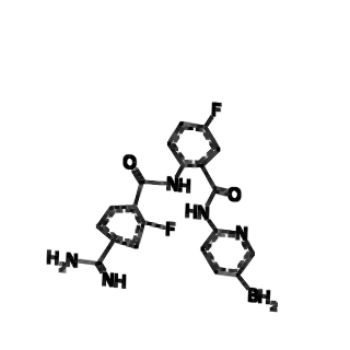 Bc1ccc(NC(=O)c2cc(F)ccc2NC(=O)c2ccc(C(=N)N)cc2F)nc1